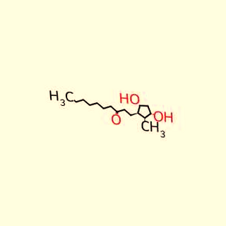 CCCCCCCC(=O)CC[C@@H]1[C@@H](C)[C@@H](O)C[C@H]1O